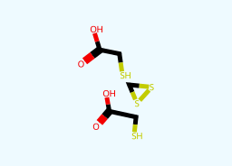 C1SS1.O=C(O)CS.O=C(O)CS